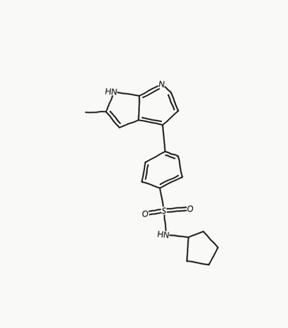 Cc1cc2c(-c3ccc(S(=O)(=O)NC4CCCC4)cc3)ccnc2[nH]1